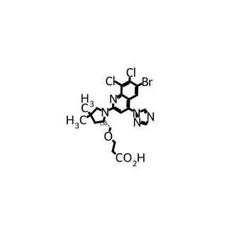 CC1(C)C[C@@H](COCCC(=O)O)N(c2cc(-n3cncn3)c3cc(Br)c(Cl)c(Cl)c3n2)C1